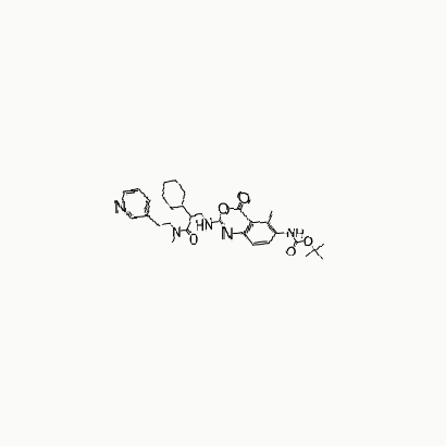 Cc1c(NC(=O)OC(C)(C)C)ccc2nc(NCC(C(=O)N(C)CCc3cccnc3)C3CCCCC3)oc(=O)c12